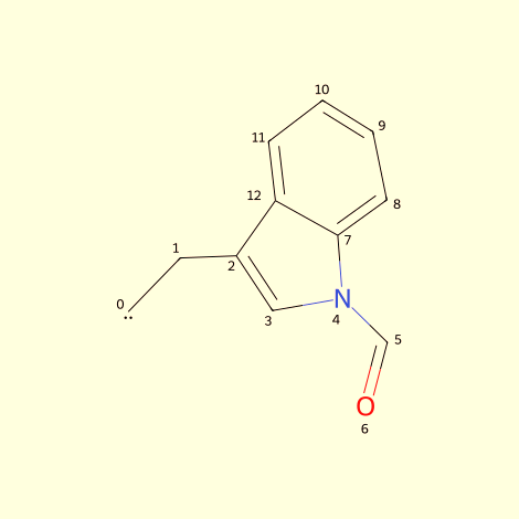 [CH]Cc1cn(C=O)c2ccccc12